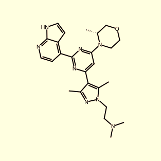 Cc1nn(CCN(C)C)c(C)c1-c1cc(N2CCOC[C@H]2C)nc(-c2ccnc3[nH]ccc23)n1